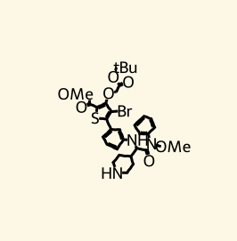 COC(=O)c1sc(-c2cccc(NC(C(=O)N(OC)c3ccccc3)C3CCNCC3)c2)c(Br)c1OCC(=O)OC(C)(C)C